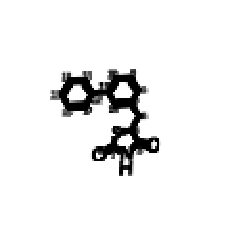 O=C1NC(=O)C(Cc2cccc(-c3ccccc3)c2)S1